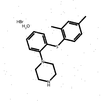 Br.Cc1ccc(Sc2ccccc2N2CCNCC2)c(C)c1.O